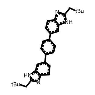 CC(C)(C)Cc1nc2ccc(-c3ccc(-c4ccc5nc(CC(C)(C)C)[nH]c5c4)cc3)cc2[nH]1